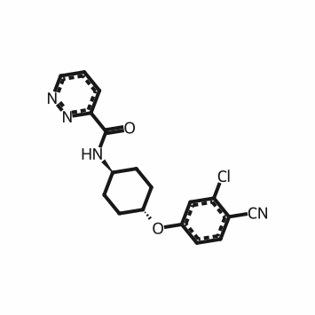 N#Cc1ccc(O[C@H]2CC[C@H](NC(=O)c3cccnn3)CC2)cc1Cl